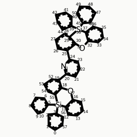 c1ccc([Si]2(c3ccccc3)c3ccccc3Oc3c(-c4cccc(-c5cccc6c5Oc5ccccc5[Si]6(c5ccccc5)c5ccccc5)n4)cccc32)cc1